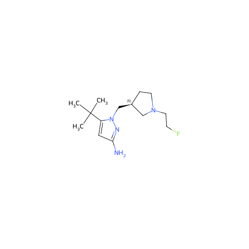 CC(C)(C)c1cc(N)nn1C[C@H]1CCN(CCF)C1